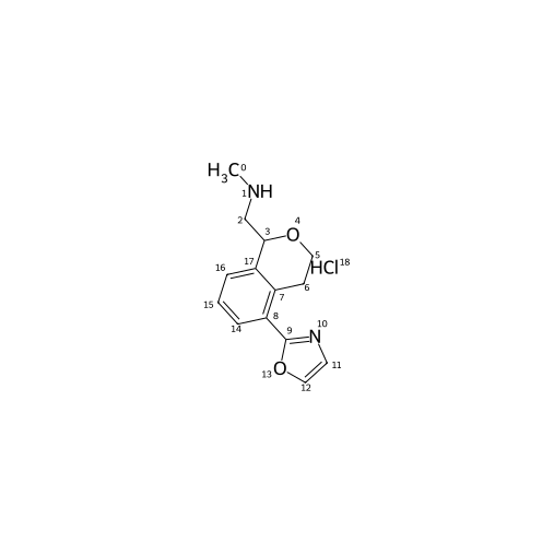 CNCC1OCCc2c(-c3ncco3)cccc21.Cl